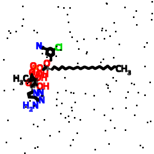 CCCCCCCCCCCCCCCCCCC[C@H](COP(=O)(O)OC1[C@@]2(C)O[C@@H](c3ccc4c(N)ncnn34)[C@H](O)[C@@]12O)OCc1cc(Cl)cc(C#N)c1